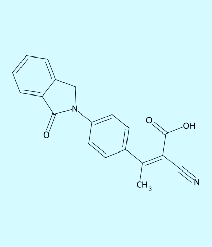 CC(=C(C#N)C(=O)O)c1ccc(N2Cc3ccccc3C2=O)cc1